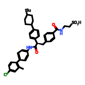 Cc1cc(Cl)ccc1-c1ccc(NC(=O)[C@H](Cc2ccc(C(=O)NCCS(=O)(=O)O)cc2)c2ccc(C3CCC(C(C)(C)C)CC3)cc2)cc1